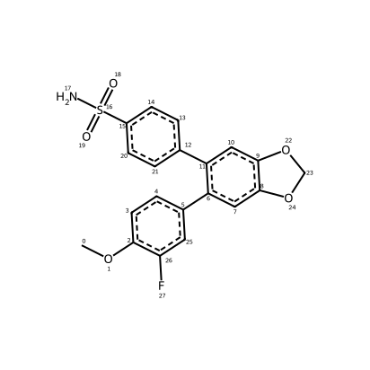 COc1ccc(-c2cc3c(cc2-c2ccc(S(N)(=O)=O)cc2)OCO3)cc1F